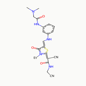 CCn1c(=C(C#N)C(=O)NCC#N)sc(=CNc2cccc(NC(=O)CN(C)C)c2)c1=O